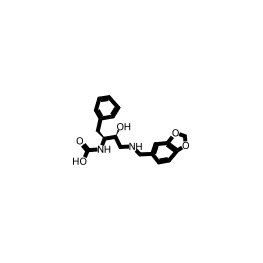 O=C(O)N[C@@H](Cc1ccccc1)[C@H](O)CNCc1ccc2c(c1)OCO2